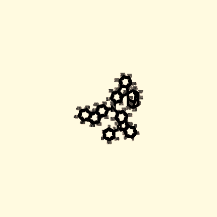 c1ccc(-n2c3ccccc3c3ccc(N(c4ccc5c(c4)C4(c6ccccc6-5)C5CC6CC(C5)CC4C6)c4ccc5c(ccc6ccccc65)c4)cc32)cc1